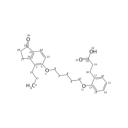 CCCc1c(OCCCCCOc2ccccc2CCC(=O)O)ccc2c1CCC2=O